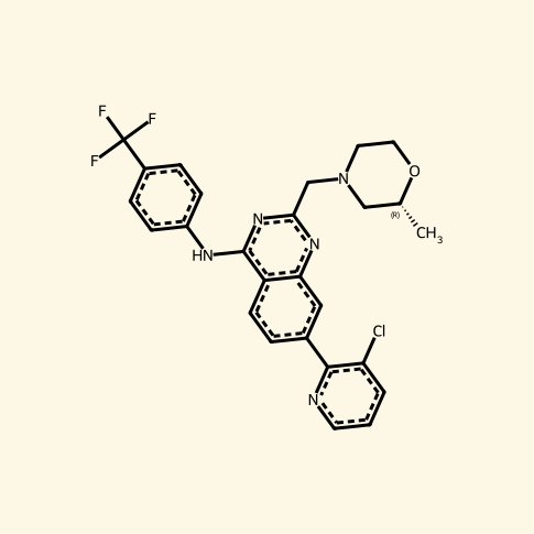 C[C@@H]1CN(Cc2nc(Nc3ccc(C(F)(F)F)cc3)c3ccc(-c4ncccc4Cl)cc3n2)CCO1